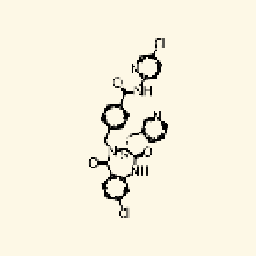 O=C(Nc1ccc(Cl)cn1)c1ccc(CN2C(=O)c3ccc(Cl)cc3NC(=O)[C@H]2Cc2cccnc2)cc1